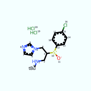 CC(C)(C)NCC(Cn1ccnc1)[S+]([O-])c1ccc(Cl)cc1.Cl.Cl